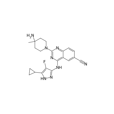 CC1(N)CCN(c2nc(Nc3n[nH]c(C4CC4)c3F)c3cc(C#N)ccc3n2)CC1